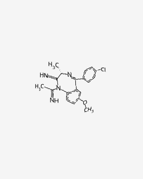 COc1ccc2c(c1)C(c1ccc(Cl)cc1)=N[C@@H](C)C(=N)N2C(C)=N